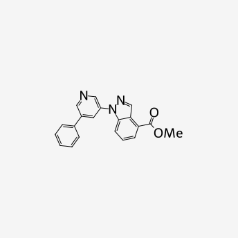 COC(=O)c1cccc2c1cnn2-c1cncc(-c2ccccc2)c1